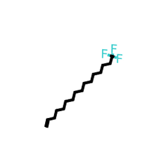 C=CCCCCCCCCCCCCCC(F)(F)F